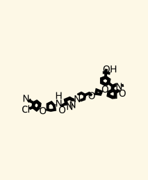 Cn1cc(-c2cc(C(C)(C)O)ccc2O[C@H]2C[C@H](OCC3CCN(c4ccc(C(=O)N[C@H]5CC[C@H](Oc6ccc(C#N)c(Cl)c6)CC5)nn4)CC3)C2)c2ccccc2c1=O